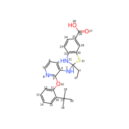 CCC1(Nc2cccnc2Oc2ccccc2C(C)(C)C)Nc2ccc(C(=O)O)cc2S1